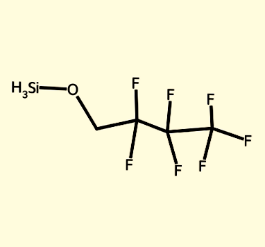 FC(F)(F)C(F)(F)C(F)(F)CO[SiH3]